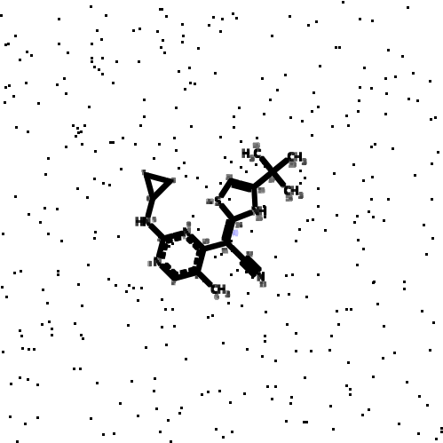 Cc1cnc(NC2CC2)nc1/C(C#N)=C1/NC(C(C)(C)C)=CS1